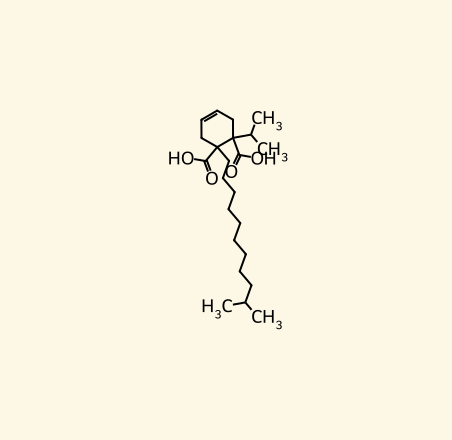 CC(C)CCCCCCCCCC1(C(=O)O)CC=CCC1(C(=O)O)C(C)C